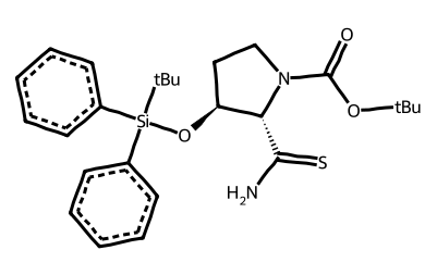 CC(C)(C)OC(=O)N1CC[C@H](O[Si](c2ccccc2)(c2ccccc2)C(C)(C)C)[C@H]1C(N)=S